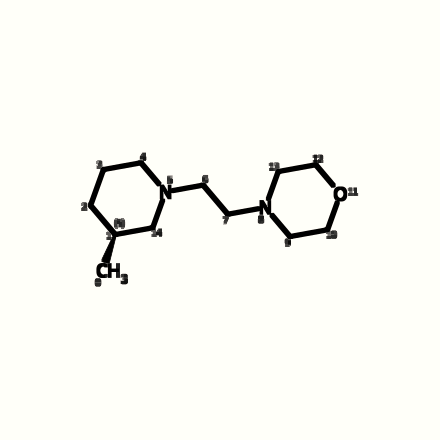 C[C@H]1CCCN(CCN2CCOCC2)C1